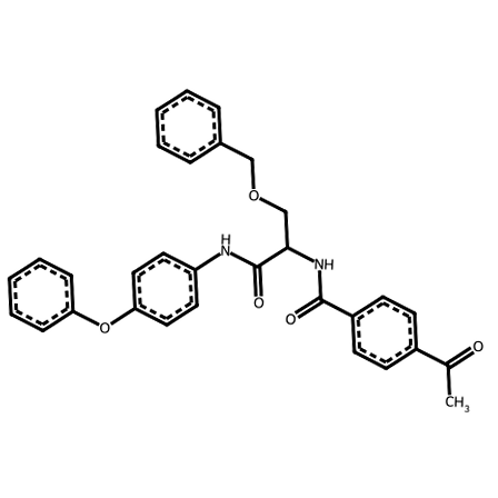 CC(=O)c1ccc(C(=O)NC(COCc2ccccc2)C(=O)Nc2ccc(Oc3ccccc3)cc2)cc1